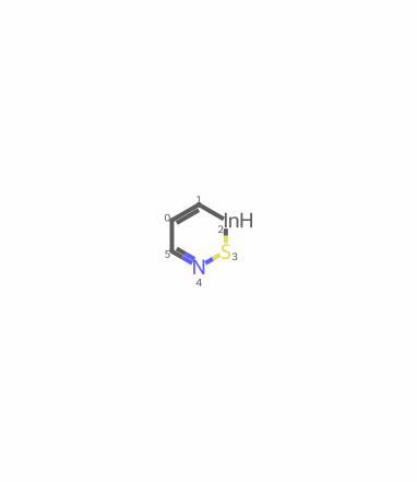 C1=[CH][InH][S]N=C1